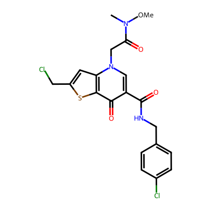 CON(C)C(=O)Cn1cc(C(=O)NCc2ccc(Cl)cc2)c(=O)c2sc(CCl)cc21